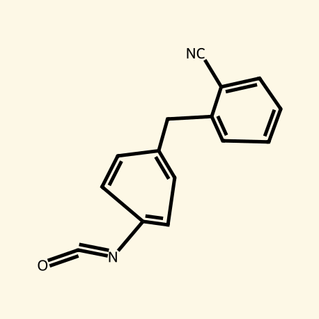 N#Cc1ccccc1Cc1ccc(N=C=O)cc1